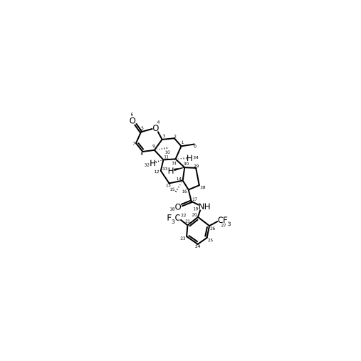 CC1CC2OC(=O)C=C[C@]2(C)[C@@H]2CC[C@]3(C)C(C(=O)Nc4c(C(F)(F)F)cccc4C(F)(F)F)CC[C@H]3[C@H]12